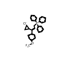 FC(F)(F)Oc1ccc(C(=CC[P+](c2ccccc2)(c2ccccc2)c2ccccc2)C2CC2)cc1.[Cl-]